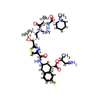 CCCO[C@H](C[C@H](C(C)C)N(CCC)C(=O)[C@@H](NC(=O)[C@H]1CCCCN1C)[C@@H](C)CC)c1nc(C(=O)NC2Cc3ccc(F)cc3[C@H](C(=O)OC(C)CN)C2)cs1